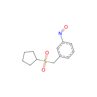 O=Nc1cccc(CS(=O)(=O)C2CCCC2)c1